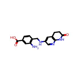 Nc1cc(C(=O)O)ccc1CNc1cnc2c(c1)CCC(=O)N2